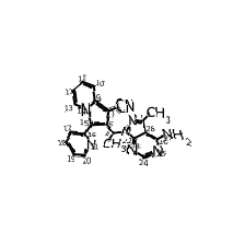 Cc1nn(C(C)c2c(C#N)c3ccccn3c2-c2ccccn2)c2ncnc(N)c12